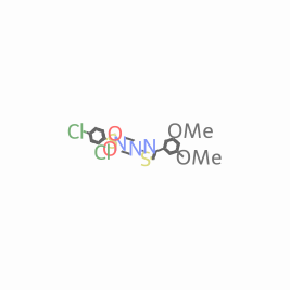 COc1cc(OC)cc(-c2csc(N3CCN(S(=O)(=O)c4ccc(Cl)cc4Cl)CC3)n2)c1